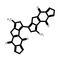 CC1=C2CC3=C(C(=O)C4=CCC=C4C3=O)C2=C(C2=C3CC4=C(C(=O)C5=CCC=C5C4=O)C3=C(C)C2)C1